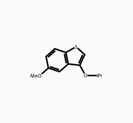 COc1ccc2scc(OC(C)C)c2c1